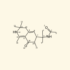 CC(=O)NC(C)(C)C1C=C2CC(C)(C)NC(C)=C2C(=O)C1C